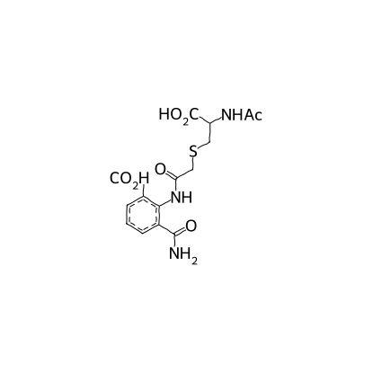 CC(=O)NC(CSCC(=O)Nc1c(C(N)=O)cccc1C(=O)O)C(=O)O